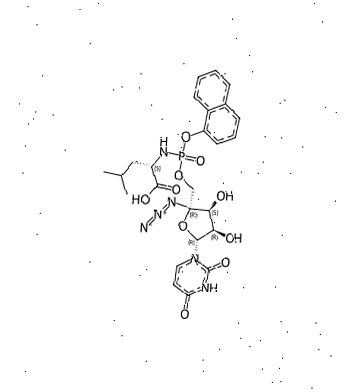 CC(C)C[C@H](NP(=O)(OC[C@@]1(N=[N+]=[N-])O[C@@H](n2ccc(=O)[nH]c2=O)[C@H](O)[C@@H]1O)Oc1cccc2ccccc12)C(=O)O